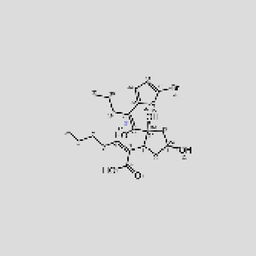 CCCCC=C(C(=O)O)C1C[C@H](O)C[C@@]1(O)/C(O)=C(/CCC)c1ccc(Br)s1